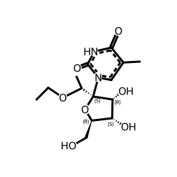 CCOC(C)[C@@]1(n2cc(C)c(=O)[nH]c2=O)O[C@H](CO)[C@@H](O)[C@H]1O